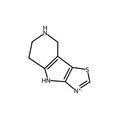 C1=[N+]c2[nH]c3c(c2S1)CNCC3